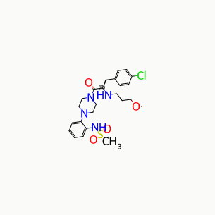 CS(=O)(=O)Nc1ccccc1N1CCN(C(=O)[C@@H](Cc2ccc(Cl)cc2)NCCC[O])CC1